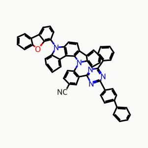 N#Cc1ccc(-n2c3ccccc3c3ccc4c(c5ccccc5n4-c4cccc5c4oc4ccccc45)c32)c(-c2nc(-c3ccccc3)nc(-c3ccc(-c4ccccc4)cc3)n2)c1